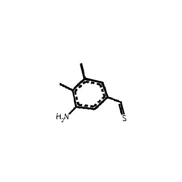 Cc1cc(C=S)cc(N)c1C